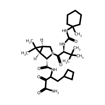 CC1(NC(=O)N[C@H](C(=O)N2C[C@H]3[C@@H]([C@H]2C(=O)NC(CC2CCC2)C(=O)C(N)=O)C3(C)C)C(C)(C)C)CCCCC1